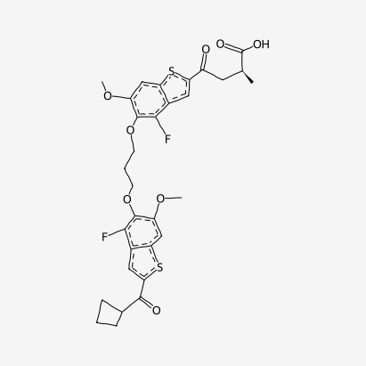 COc1cc2sc(C(=O)C[C@H](C)C(=O)O)cc2c(F)c1OCCCOc1c(OC)cc2sc(C(=O)C3CCC3)cc2c1F